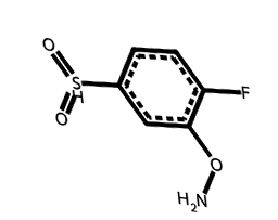 NOc1cc([SH](=O)=O)ccc1F